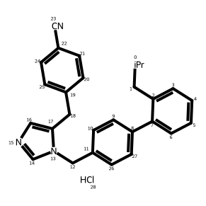 CC(C)Cc1ccccc1-c1ccc(Cn2cncc2Cc2ccc(C#N)cc2)cc1.Cl